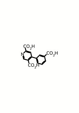 O=C(O)c1cccc(-c2cc(C(=O)O)ncc2C(=O)O)c1